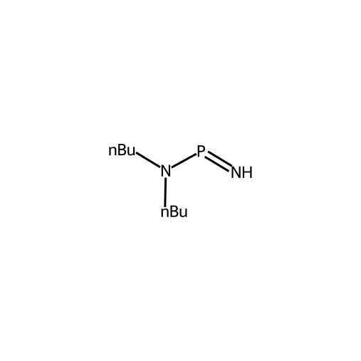 CCCCN(CCCC)P=N